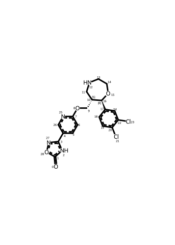 O=c1[nH]c(-c2ccc(OC[C@@H]3CNCCO[C@H]3c3ccc(Cl)c(Cl)c3)nc2)no1